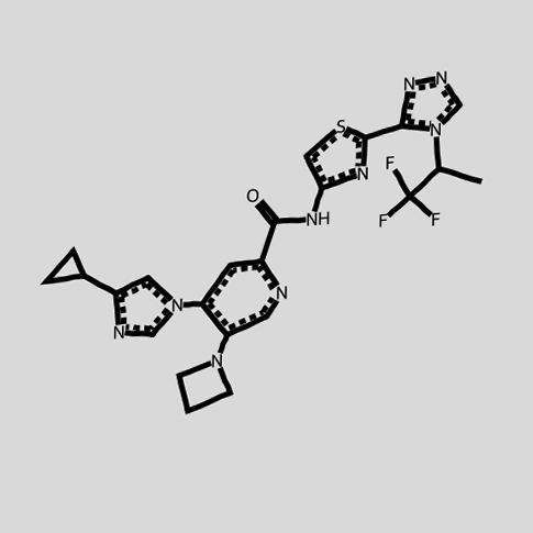 CC(n1cnnc1-c1nc(NC(=O)c2cc(-n3cnc(C4CC4)c3)c(N3CCC3)cn2)cs1)C(F)(F)F